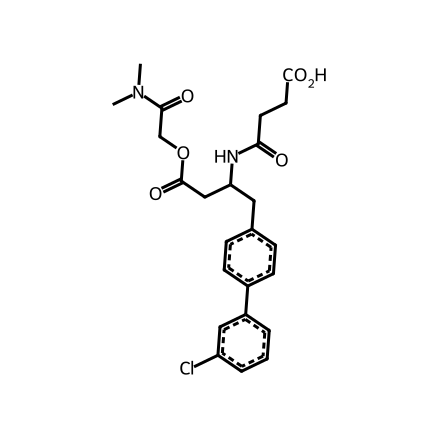 CN(C)C(=O)COC(=O)CC(Cc1ccc(-c2cccc(Cl)c2)cc1)NC(=O)CCC(=O)O